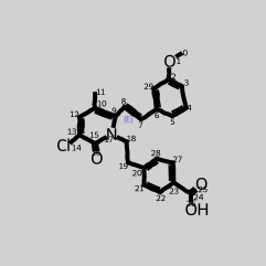 COc1cccc(/C=C/c2c(C)cc(Cl)c(=O)n2CCc2ccc(C(=O)O)cc2)c1